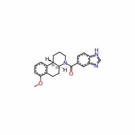 COc1cccc2c1CC[C@H]1[C@H]2CCCN1C(=O)c1ccc2[nH]cnc2c1